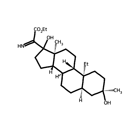 CCOC(=O)C(=N)C1(O)CC[C@H]2[C@@H]3CC[C@@H]4C[C@](C)(O)CC[C@]4(CC)[C@H]3CC[C@@]21C